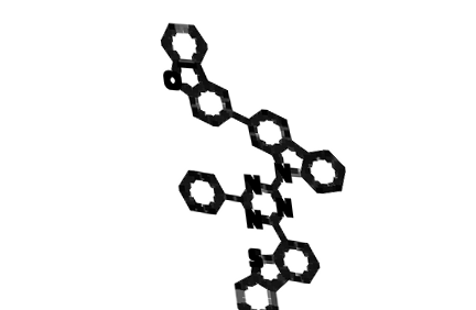 c1ccc(-c2nc(-c3cccc4c3sc3ccccc34)nc(-n3c4ccccc4c4ccc(-c5ccc6oc7ccccc7c6c5)cc43)n2)cc1